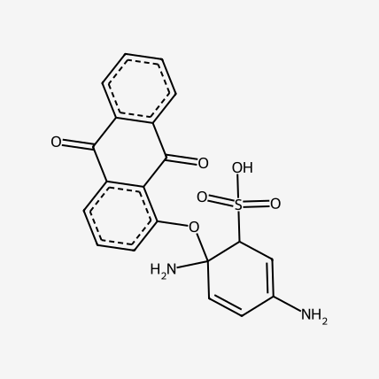 NC1=CC(S(=O)(=O)O)C(N)(Oc2cccc3c2C(=O)c2ccccc2C3=O)C=C1